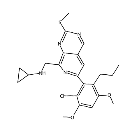 CCCc1c(OC)cc(OC)c(Cl)c1-c1cc2cnc(SC)nc2c(CNC2CC2)n1